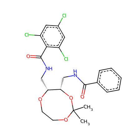 CC1(C)OCCO[C@H](CNC(=O)c2c(Cl)cc(Cl)cc2Cl)[C@H](CNC(=O)c2ccccc2)O1